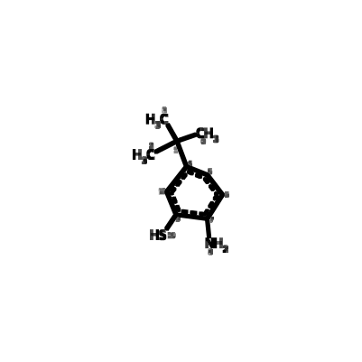 CC(C)(C)c1ccc(N)c(S)c1